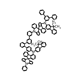 CC1(C)c2ccccc2-c2ccc(N(c3ccc(-c4ccccc4-c4cccc(-c5cccc(N6c7ccccc7C7(c8ccccc8-c8c(N(c9cc(-c%10ccccc%10)cc(-c%10ccccc%10)c9)c9ccc%10c(c9)C(C)(C)c9ccccc9-%10)cccc87)c7ccccc76)c5)c4)cc3)c3cccc4c3-c3ccccc3C43c4ccccc4N(c4ccccc4)c4ccccc43)cc21